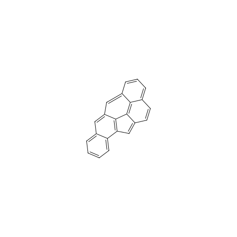 C1=c2ccc3cccc4cc5cc6ccccc6c1c5c2c34